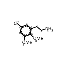 COc1cc(Cl)cc(CCN)c1OC